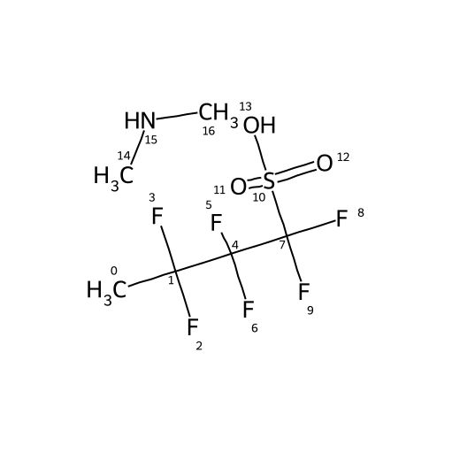 CC(F)(F)C(F)(F)C(F)(F)S(=O)(=O)O.CNC